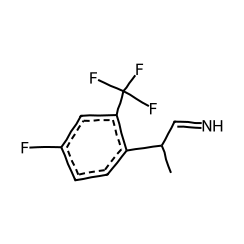 CC(C=N)c1ccc(F)cc1C(F)(F)F